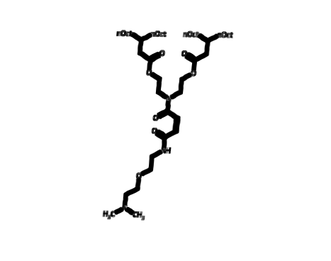 CCCCCCCCC(CCCCCCCC)CC(=O)OCCN(CCOC(=O)CC(CCCCCCCC)CCCCCCCC)C(=O)/C=C\C(=O)NCCOCCN(C)C